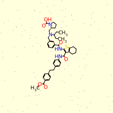 CCC(CC)N(Cc1cccc(C(=O)Nc2sc3c(c2C(=O)Nc2ccc(CCc4ccc(C(=O)OC)cc4)cc2)CCCC3)c1)C[C@@H]1CCCN1C(=O)O